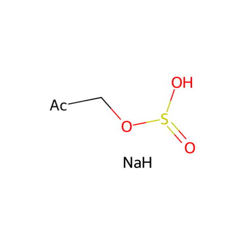 CC(=O)COS(=O)O.[NaH]